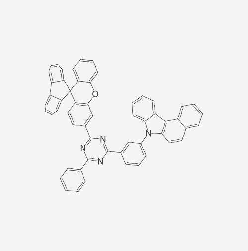 c1ccc(-c2nc(-c3cccc(-n4c5ccccc5c5c6ccccc6ccc54)c3)nc(-c3ccc4c(c3)Oc3ccccc3C43c4ccccc4-c4ccccc43)n2)cc1